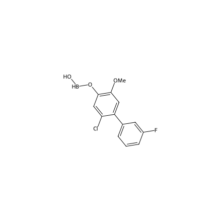 COc1cc(-c2cccc(F)c2)c(Cl)cc1OBO